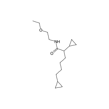 CCOCCNC(=O)C(CCCCC1CC1)C1CC1